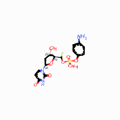 Nc1ccc(OP(=O)(O)OC(F)[C@H]2O[C@@H](n3ccc(=O)[nH]c3=O)C[C@@H]2O)cc1